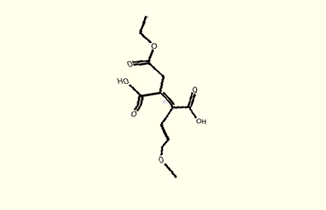 CCOC(=O)C/C(C(=O)O)=C(/CCOC)C(=O)O